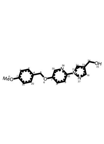 COc1ccc(COc2ccc(-n3cc(CO)cn3)nc2)cc1